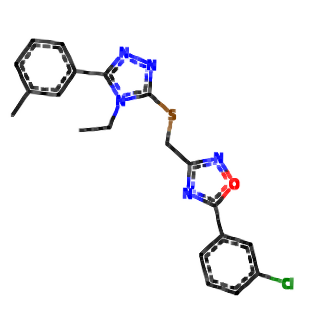 CCn1c(SCc2noc(-c3cccc(Cl)c3)n2)nnc1-c1cccc(C)c1